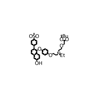 CCN(CCOCC(=O)OC(C)(C)C)CCOc1ccc(Oc2c(-c3ccc(S(C)(=O)=O)cc3)ccc3cc(O)ccc23)cc1